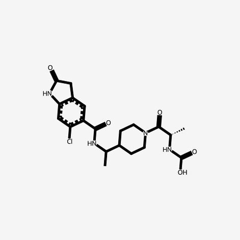 CC(NC(=O)c1cc2c(cc1Cl)NC(=O)C2)C1CCN(C(=O)[C@H](C)NC(=O)O)CC1